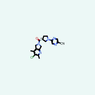 Cc1nc2c(c(C)c1Cl)CN(C(=O)[C@@H]1CCN(c3cnc(C#N)cn3)C1)C2